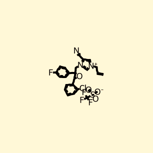 C=CC[n+]1cc(C#N)n(CC2(c3ccc(F)cc3)OC2c2ccccc2Cl)c1.O=S(=O)([O-])C(F)(F)F